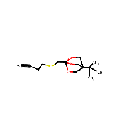 C#CCCSCC12OCC(C(C)(C)C)(CO1)CO2